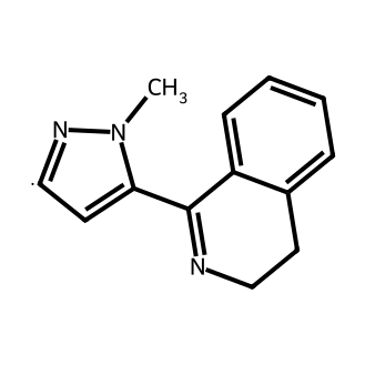 Cn1n[c]cc1C1=NCCc2ccccc21